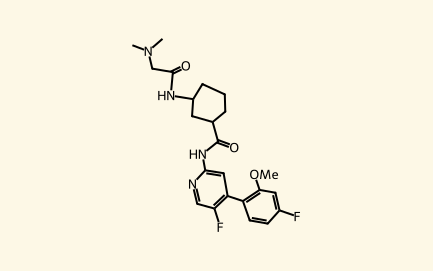 COc1cc(F)ccc1-c1cc(NC(=O)C2CCCC(NC(=O)CN(C)C)C2)ncc1F